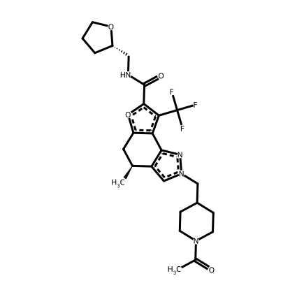 CC(=O)N1CCC(Cn2cc3c(n2)-c2c(oc(C(=O)NC[C@@H]4CCCO4)c2C(F)(F)F)C[C@@H]3C)CC1